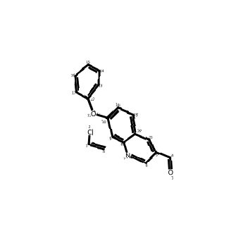 C=CCl.O=Cc1cnc2cc(Oc3ccccc3)ccc2c1